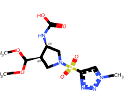 COC(OC)[C@@H]1CN(S(=O)(=O)c2cn(C)nn2)C[C@@H]1NC(=O)O